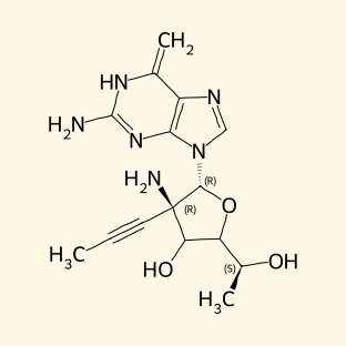 C=C1NC(N)=Nc2c1ncn2[C@@H]1OC([C@H](C)O)C(O)[C@]1(N)C#CC